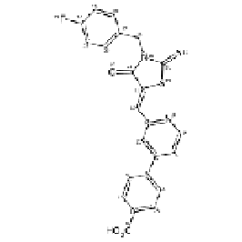 O=C(O)c1ccc(-c2ccnc(/C=C3\SC(=S)N(Cc4ccc(F)cc4)C3=O)c2)cc1